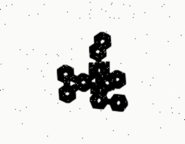 c1ccc(-c2nc(-c3ccc4ccccc4c3)nc(-c3cc4c5ccccc5c5ccccc5c4cc3-n3c4ccccc4c4c(-c5ccccc5)cccc43)n2)cc1